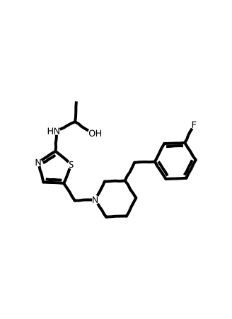 CC(O)Nc1ncc(CN2CCCC(Cc3cccc(F)c3)C2)s1